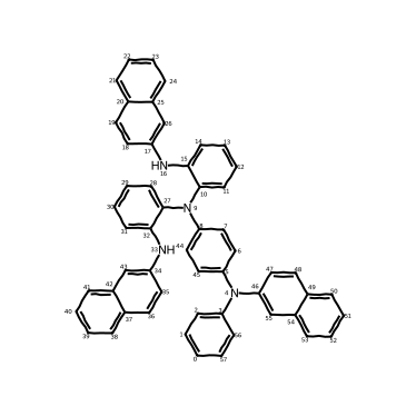 c1ccc(N(c2ccc(N(c3ccccc3Nc3ccc4ccccc4c3)c3ccccc3Nc3ccc4ccccc4c3)cc2)c2ccc3ccccc3c2)cc1